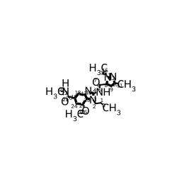 CCCn1c(NC(=O)c2cc(C)nn2CC)nc2cc(C(=O)NC)cc(OC)c21